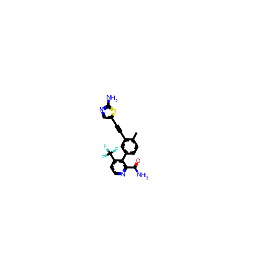 Cc1ccc(-c2c(C(F)(F)F)ccnc2C(N)=O)cc1C#Cc1cnc(N)s1